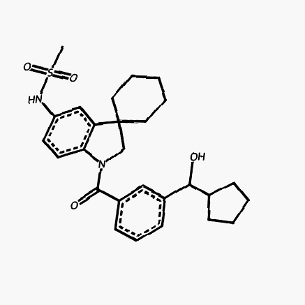 CS(=O)(=O)Nc1ccc2c(c1)C1(CCCCC1)CN2C(=O)c1cccc(C(O)C2CCCC2)c1